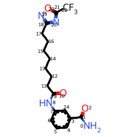 NC(=O)c1cccc(NC(=O)CCCCCCCc2noc(C(F)(F)F)n2)c1